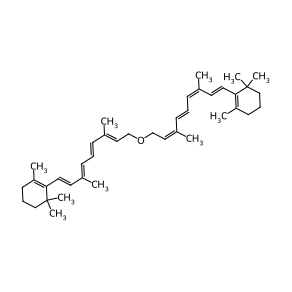 CC(C=CC1=C(C)CCCC1(C)C)=CC=CC(C)=CCOCC=C(C)C=CC=C(C)C=CC1=C(C)CCCC1(C)C